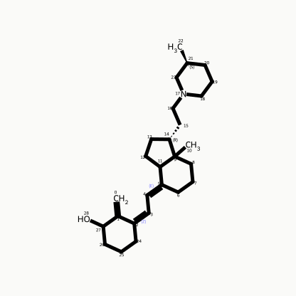 C=C1/C(=C\C=C2/CCCC3(C)C2CC[C@@H]3CCN2CCC[C@H](C)C2)CCCC1O